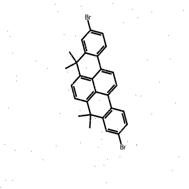 CC1(C)c2cc(Br)ccc2-c2ccc3c4c(ccc1c24)C(C)(C)c1cc(Br)ccc1-3